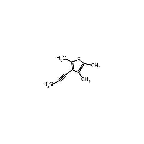 Cc1sc(C)c(C#C[SiH3])c1C